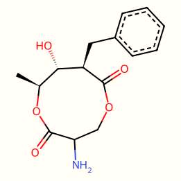 C[C@@H]1OC(=O)C(N)COC(=O)[C@H](Cc2ccccc2)[C@H]1O